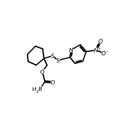 BC(=O)OCC1(SSc2ccc([N+](=O)[O-])cn2)CCCCC1